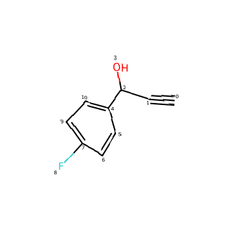 C#CC(O)c1ccc(F)cc1